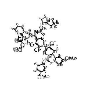 COc1ccc(CN(Cc2ccc(OC)cc2)c2cc(C)c(C(F)(F)F)c(-c3cc4nc(OC[C@]56CCCN5CC(F)(F)C6)nc5c4c(c3Cl)OCCN5Cc3cccnc3NC(=O)OC(C)(C)C)n2)cc1